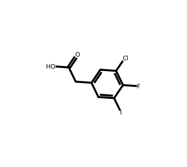 O=C(O)Cc1cc(Cl)c(F)c(I)c1